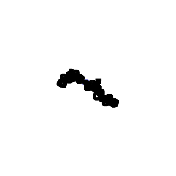 C=C(CC(=O)OC1CCCCC1)C(=O)Oc1ccc(/C=C/C(=O)Oc2ccc(OC(=O)C(=C)CC(=O)OC3CCCCC3)cc2F)cc1